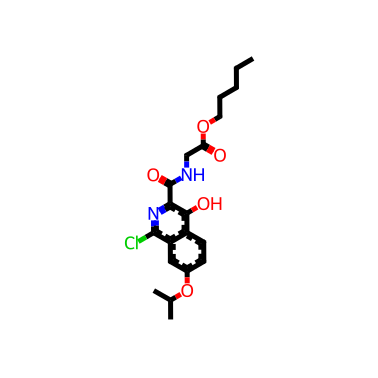 CCCCCOC(=O)CNC(=O)c1nc(Cl)c2cc(OC(C)C)ccc2c1O